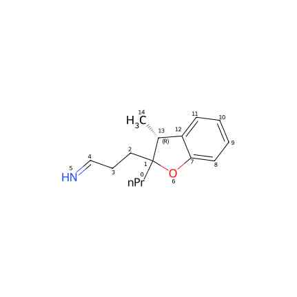 CCCC1(CCC=N)Oc2ccccc2[C@H]1C